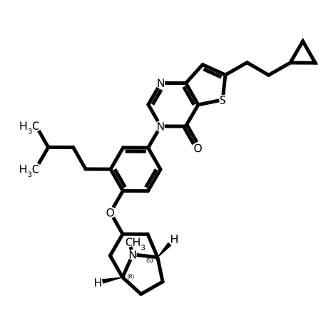 CC(C)CCc1cc(-n2cnc3cc(CCC4CC4)sc3c2=O)ccc1OC1C[C@H]2CC[C@@H](C1)N2C